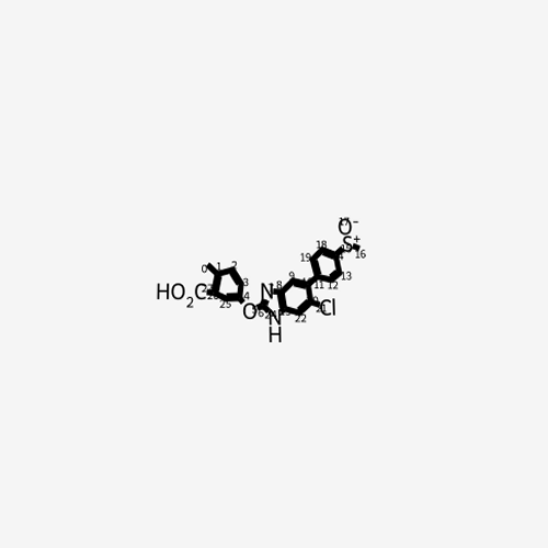 Cc1ccc(Oc2nc3cc(-c4ccc([S+](C)[O-])cc4)c(Cl)cc3[nH]2)cc1C(=O)O